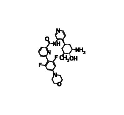 C[C@H]1C[C@@H](c2ccncc2NC(=O)c2cccc(-c3c(F)cc(N4CCOCC4)cc3F)n2)C[C@@H](N)[C@@H]1O